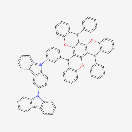 c1ccc(B2c3ccccc3Oc3c2c2c(c4c3B(c3cccc(-n5c6ccccc6c6cc(-n7c8ccccc8c8ccccc87)ccc65)c3)c3ccccc3O4)B(c3ccccc3)c3ccccc3O2)cc1